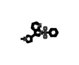 CN1CC=C(c2cn(S(=O)(=O)c3ccccc3)c3ncccc23)C1